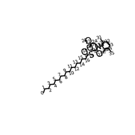 CCCCCCCCCCCCCCCCCC(=O)SCC(=O)N(CC(=O)OC)c1c(C)ccc(C)c1C